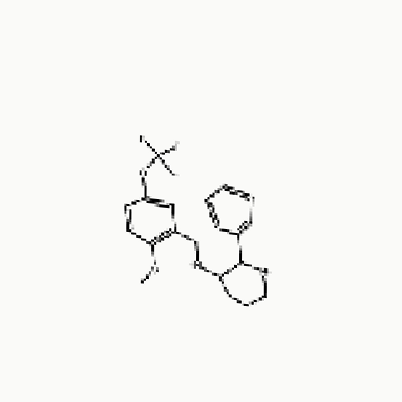 COc1ccc(OC(F)(F)F)cc1CNC1CCCNC1c1ccccc1